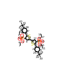 CCOP(=O)(OCC)c1cc(-c2cc(P(=O)(OCC)OCC)c(-c3ccc(C(C)(C)C)cc3)s2)sc1-c1ccc(C(C)(C)C)cc1